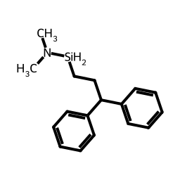 CN(C)[SiH2]CCC(c1ccccc1)c1ccccc1